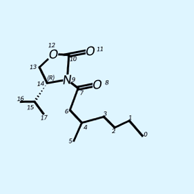 CCCCC(C)CC(=O)N1C(=O)OC[C@H]1C(C)C